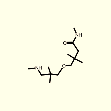 CNCC(C)(C)COCC(C)(C)CC(=O)NC